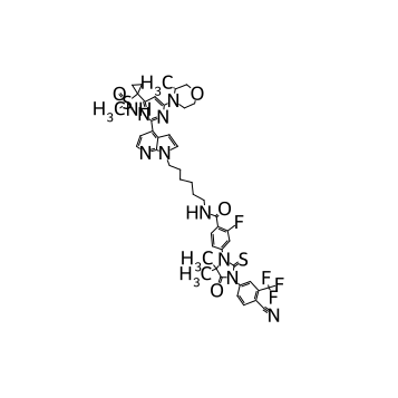 C[C@@H]1COCCN1c1cc(C2(S(C)(=N)=O)CC2)nc(-c2ccnc3c2ccn3CCCCCCNC(=O)c2ccc(N3C(=S)N(c4ccc(C#N)c(C(F)(F)F)c4)C(=O)C3(C)C)cc2F)n1